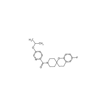 CC(C)Oc1ccc(C(=O)N2CCC3(CCc4cc(F)ccc4O3)CC2)nc1